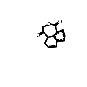 O=C1OCC(=O)C2CC=Cc3cccc1c32